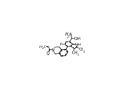 C=CC(=O)N1CCc2c(cccc2-c2c(F)cc(C(N)O)c3[nH]c(C(F)(F)F)c(C)c23)C1